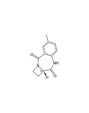 Cc1ccc2c(c1)C(=O)N1CC[C@H]1C(=O)N2